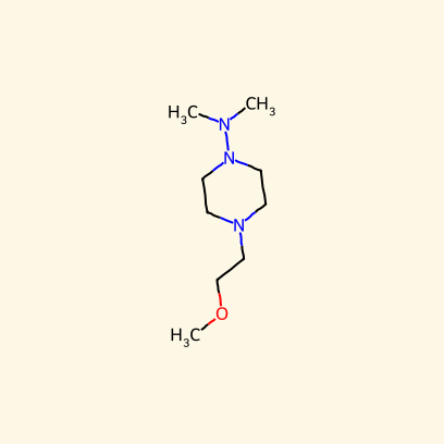 COCCN1CCN(N(C)C)CC1